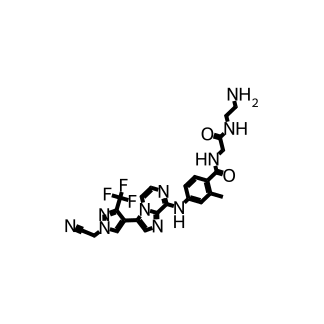 Cc1cc(Nc2nccn3c(-c4cn(CC#N)nc4C(F)(F)F)cnc23)ccc1C(=O)NCC(=O)NCCN